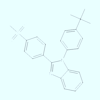 CC(C)(C)c1ccc(-n2c(-c3ccc(S(C)(=O)=O)cc3)nc3ccccc32)cc1